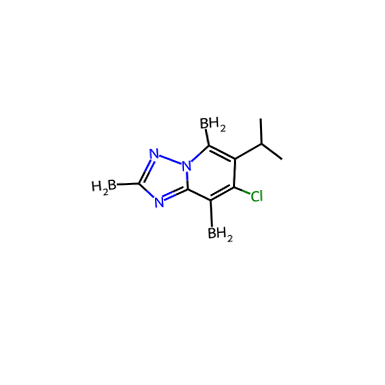 Bc1nc2c(B)c(Cl)c(C(C)C)c(B)n2n1